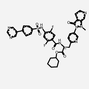 Cn1c2cnccc2c(=O)n1-c1ccc(C[C@H](NC(=O)c2cc(F)c(NS(=O)(=O)c3ccc(-c4cncnc4)cc3)cc2F)C(=O)OC2CCCCC2)nc1